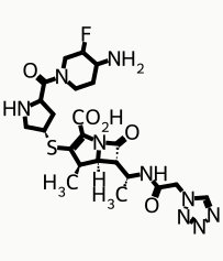 C[C@@H](NC(=O)Cn1cnnn1)[C@H]1C(=O)N2C(C(=O)O)=C(S[C@@H]3CNC(C(=O)N4CCC(N)C(F)C4)C3)[C@H](C)[C@H]12